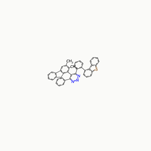 Cc1cc2c(c(-c3c(-c4ccccc4)nnnc3-c3ccccc3-c3cccc4sc5ccccc5c34)c1C)Cc1ccccc1-2